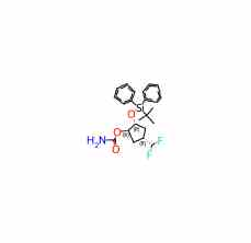 CC(C)(C)[Si](O[C@@H]1C[C@H](C(F)F)C[C@H]1OC(N)=O)(c1ccccc1)c1ccccc1